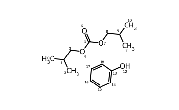 CC(C)COC(=O)OCC(C)C.Oc1ccccc1